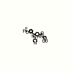 CN1CCC(n2nc(-c3cccc(OC(F)F)c3)c3c2CC(C(=O)N[C@]2(C)CCS(=O)(=O)C2)CC3)CC1